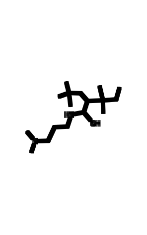 CCC(C)(C)C(CC(C)(C)C)C(O)NCCCN(C)C